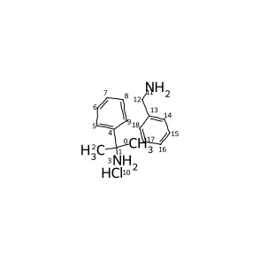 CC(C)(N)c1ccccc1.Cl.NCc1ccccc1